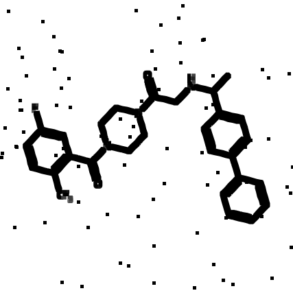 CC(NCC(=O)N1CCN(C(=O)c2cc(F)ccc2C(F)(F)F)CC1)c1ccc(-c2ccccc2)cc1